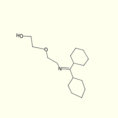 OCCOCCN=C(C1CCCCC1)C1CCCCC1